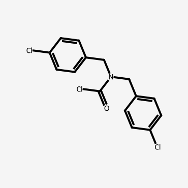 O=C(Cl)N(Cc1ccc(Cl)cc1)Cc1ccc(Cl)cc1